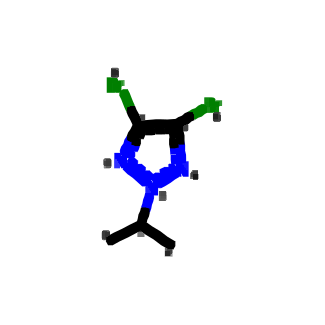 CC(C)n1nc(Br)c(Br)n1